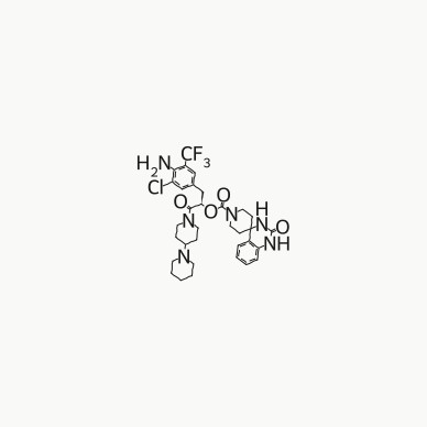 Nc1c(Cl)cc(C[C@@H](OC(=O)N2CCC3(CC2)NC(=O)Nc2ccccc23)C(=O)N2CCC(N3CCCCC3)CC2)cc1C(F)(F)F